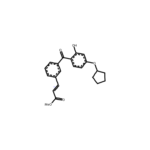 COC(=O)/C=C/c1cccc(C(=O)c2ccc(OC3CCCC3)cc2O)c1